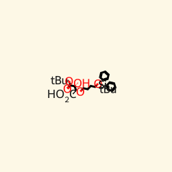 CC(C)(C)OC(=O)[C@H](O)[C@@H](OCCCCO[Si](c1ccccc1)(c1ccccc1)C(C)(C)C)C(=O)O